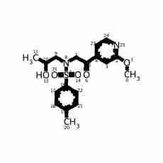 COc1cc(C(=O)CN(CC(C)O)S(=O)(=O)c2ccc(C)cc2)ccn1